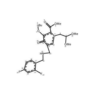 CCCCOc1c(C(=O)OC)n(CC(OC)OC)cc(CNCc2ccc(F)cc2F)c1=O